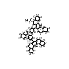 CC1Cc2c(nc3c(ccc4ccccc43)c2-c2ccc(P(=S)(c3ccccc3)c3ccc(-c4c5ccc6ccccc6c5nc5c4ccc4ccccc45)cc3)cc2)-c2ccccc21